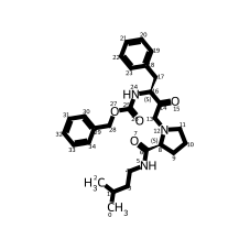 CC(C)CCNC(=O)[C@@H]1CCCN1CC(=O)[C@H](Cc1ccccc1)NC(=O)OCc1ccccc1